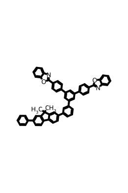 CC1(C)c2cc(-c3ccccc3)ccc2-c2ccc(-c3cccc(-c4cc(-c5ccc(-c6nc7ccccc7o6)cc5)cc(-c5ccc(-c6nc7ccccc7o6)cc5)c4)c3)cc21